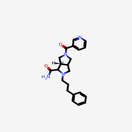 NC(=O)C1[C@@H]2CN(C(=O)c3cccnc3)CC2CN1CC[CH]c1ccccc1